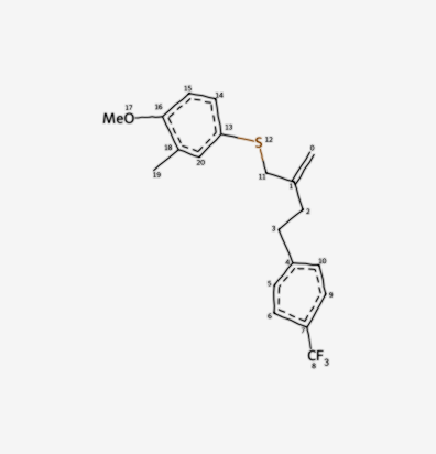 C=C(CCc1ccc(C(F)(F)F)cc1)CSc1ccc(OC)c(C)c1